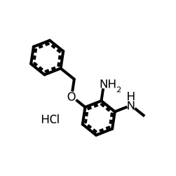 CNc1cccc(OCc2ccccc2)c1N.Cl